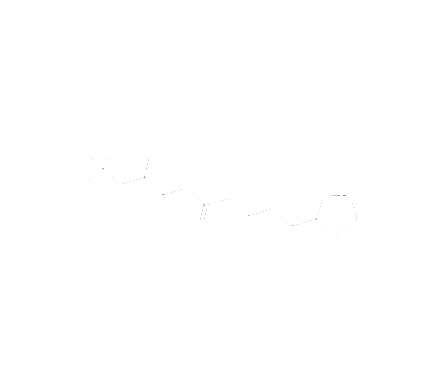 C[Si](C)(C)CC(O)COC(=O)CCCCC1CCSS1